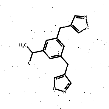 CC(C)c1cc(Cc2cnoc2)cc(Cc2cnoc2)c1